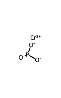 [Cr+3].[O-]P([O-])[O-]